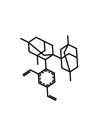 C=Cc1ccc(C2C3(C)CC4CC(C)(C3)CC2(C23CC5CC(C)(CC(C)(C5)C2)C3)C4)c(C=C)c1